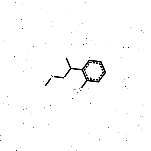 CSCC(C)c1ccccc1N